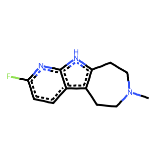 CN1CCc2[nH]c3nc(F)ccc3c2CC1